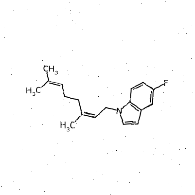 CC(C)=CCCC(C)=CCn1ccc2cc(F)ccc21